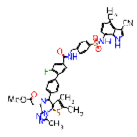 COC(=O)C[C@@H]1N=C(c2ccc(-c3ccc(C(=O)NCc4ccc(S(=O)(=O)Nc5ccc(C)c6c(C#N)c[nH]c56)cc4)cc3F)cc2)c2c(sc(C)c2C)-n2c(C)nnc21